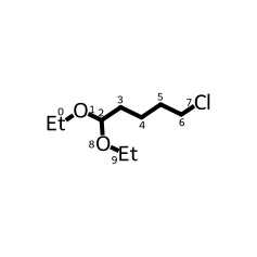 CCOC(CCCCCl)OCC